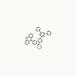 CC1(C)c2ccccc2N(c2ccc(C3(c4ccc(-c5nc(-c6ccccc6)cc(-c6ccccc6)n5)cc4)CCCCC3)cc2)c2ccccc21